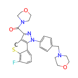 O=C(c1nn(-c2ccc(CN3CCOCC3)cc2)c2c1CSc1c(F)cccc1-2)N1CCOCC1